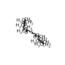 CC(CC(C)(C)OOC(C)(C)C)OC(=O)CCSCCC(=O)OC(C)CC(C)(C)OOC(C)(C)C